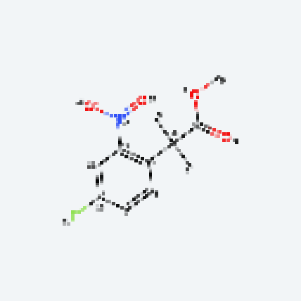 COC(=O)C(C)(C)c1ccc(F)cc1[N+](=O)[O-]